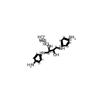 Cl.Cl.Cl.Cl.Nc1ccc(NCC(O)C(O)CNc2ccc(N)cc2)cc1